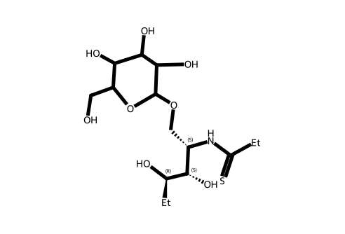 CCC(=S)N[C@@H](COC1OC(CO)C(O)C(O)C1O)[C@H](O)[C@H](O)CC